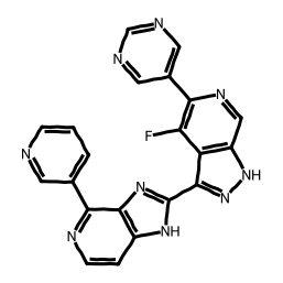 Fc1c(-c2cncnc2)ncc2[nH]nc(-c3nc4c(-c5cccnc5)nccc4[nH]3)c12